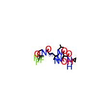 CC(C)Cn1c(=O)c(C(=O)NC2CC2)c(O)n2ncc(/C=C/C(=O)N3CCO[C@H](C(F)(F)F)C3)c12